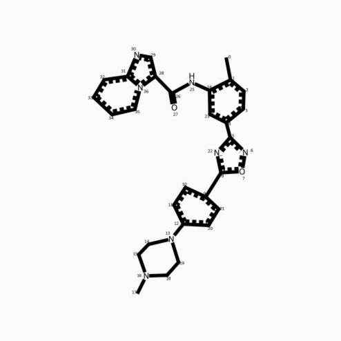 Cc1ccc(-c2noc(-c3ccc(N4CCN(C)CC4)cc3)n2)cc1NC(=O)c1cnc2ccccn12